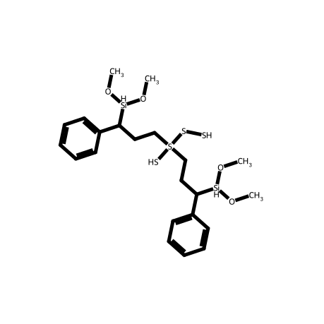 CO[SiH](OC)C(CCS(S)(CCC(c1ccccc1)[SiH](OC)OC)SS)c1ccccc1